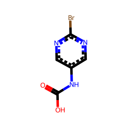 O=C(O)Nc1cnc(Br)nc1